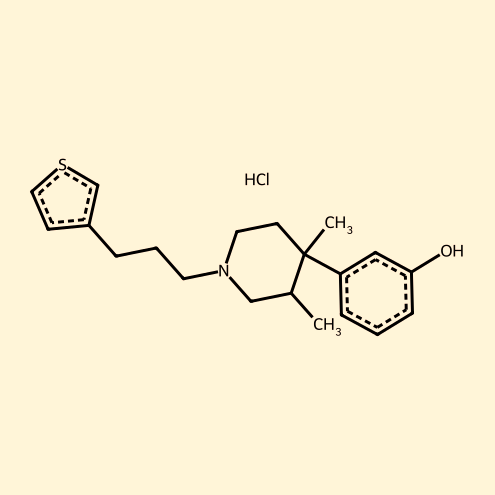 CC1CN(CCCc2ccsc2)CCC1(C)c1cccc(O)c1.Cl